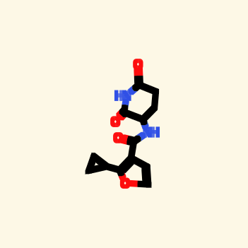 O=C1CCC(NC(=O)c2ccoc2C2CC2)C(=O)N1